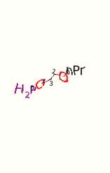 CCCOCCOP